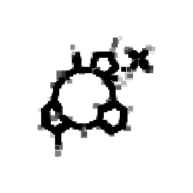 CCS(=O)(=O)N[C@H]1[C@@H](F)CN2C(=O)NCc3ccc(Cl)c(n3)Oc3cccc(c3)C[C@@H]12